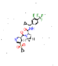 O=C(N[C@H](C1=CC1)c1ccc(C(F)(F)F)c(F)c1)[C@H]1C[C@H]2C[C@H]2N1C(=O)c1cncc(S(=O)(=O)C2CC2)c1